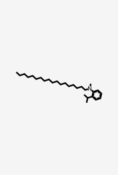 CCCCCCCCCCCCCCCCCCN(C)c1ccccc1C(C)C